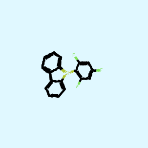 Fc1cc(F)c([SH]2c3ccccc3-c3ccccc32)c(F)c1